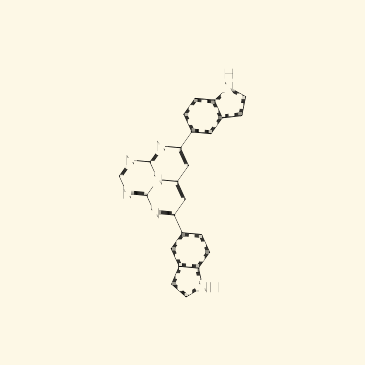 C1=NC2=NC(c3ccc4[nH]ccc4c3)=CC3=CC(c4ccc5[nH]ccc5c4)=NC(=N1)N32